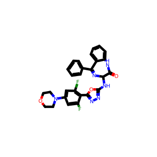 O=C1Nc2ccccc2C(c2ccccc2)=NC1Nc1nnc(-c2c(F)cc(N3CCOCC3)cc2F)o1